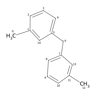 Cc1cccc([CH]c2cccc(C)c2)c1